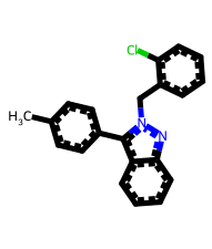 Cc1ccc(-c2c3ccccc3nn2Cc2ccccc2Cl)cc1